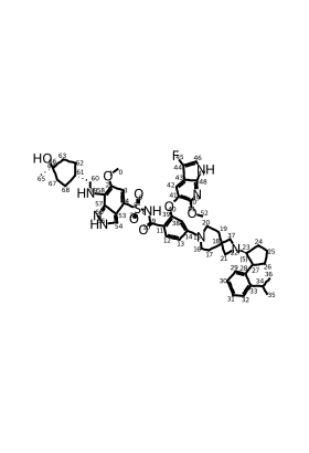 COc1cc(S(=O)(=O)NC(=O)c2ccc(N3CCC4(CC3)CN([C@H]3CCCC3c3ccccc3C(C)C)C4)cc2Oc2cc3c(F)c[nH]c3nc2OC)c2c[nH]nc2c1NC[C@H]1CC[C@](C)(O)CC1